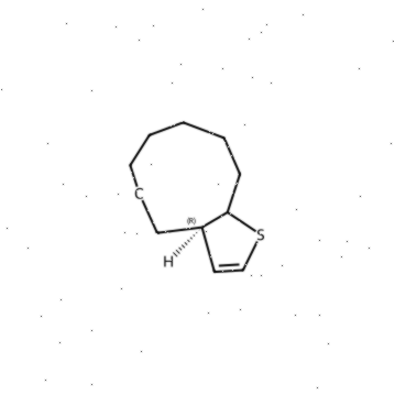 C1=C[C@H]2CCCCCCCC2S1